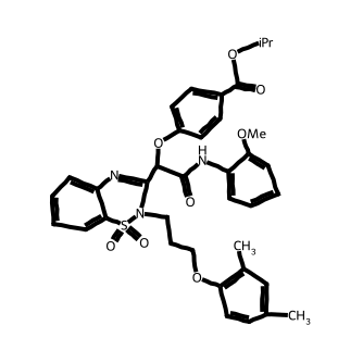 COc1ccccc1NC(=O)C(Oc1ccc(C(=O)OC(C)C)cc1)C1=Nc2ccccc2S(=O)(=O)N1CCCOc1ccc(C)cc1C